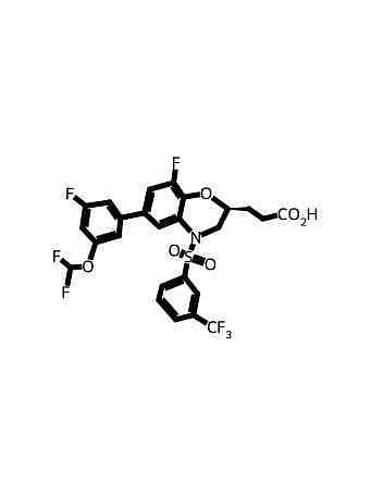 O=C(O)CC[C@H]1CN(S(=O)(=O)c2cccc(C(F)(F)F)c2)c2cc(-c3cc(F)cc(OC(F)F)c3)cc(F)c2O1